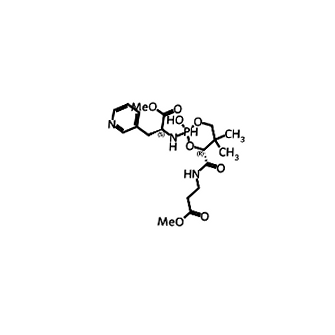 COC(=O)CCNC(=O)[C@@H]1O[PH](O)(N[C@@H](Cc2cccnc2)C(=O)OC)OCC1(C)C